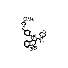 COC1CN(Cc2ccc(-n3nc(C(=O)N4CCOCC4)c4c3-c3ccccc3S(=O)(=O)C4)cc2)C1